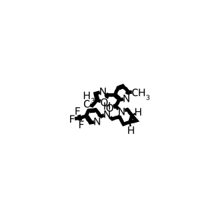 CCc1cnc(-c2ccc(C)nc2C(=O)N2C[C@@H]3C[C@@H]3CC2CNc2ccc(C(F)(F)F)cn2)o1